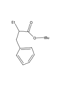 CCC(Cc1ccccc1)C(=O)OC(C)(C)C